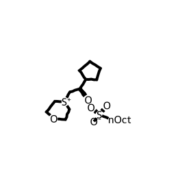 CCCCCCCCS(=O)(=O)[O-].O=C(C[S+]1CCOCC1)C1CCCC1